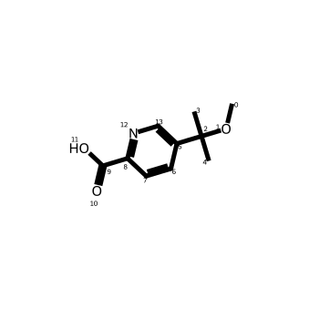 COC(C)(C)c1ccc(C(=O)O)nc1